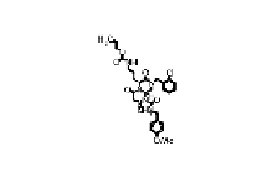 C=CCOC(=O)NCCC[C@H]1C(=O)N(Cc2ccccc2Cl)C[C@H]2N1C(=O)CN(C)N2C(=O)NCc1ccc(OC)cc1